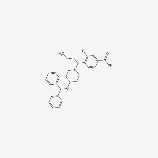 CCCC(c1ccc(C(=O)O)cc1F)N1CCC(OC(c2ccccc2)c2ccccc2)CC1